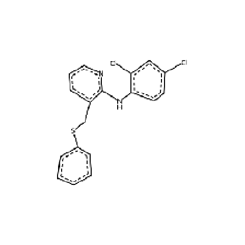 Clc1ccc(Nc2ncccc2CSc2ccccc2)c(Cl)c1